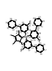 CC1=C(C)C(C)C([Si](c2cc(F)cc(-c3ccccc3)c2)(c2cc(F)cc(-c3ccccc3)c2)c2cc(F)cc(-c3ccccc3)c2)=C1C